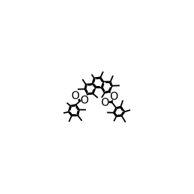 Cc1c(C)c(C)c(C(=O)Oc2c(C)c(C)c3c(C)c(C)c4c(C)c(C)c(OC(=O)c5c(C)c(C)c(C)c(C)c5C)c(C)c4c3c2C)c(C)c1C